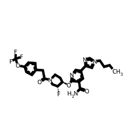 CCCCn1cnc(-c2cnc(O[C@@H]3CCN(C(=O)Cc4ccc(OC(F)(F)F)cc4)C[C@H]3F)c(C(N)=O)c2)c1